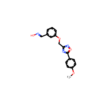 ON=Cc1cccc(OCc2noc(-c3ccc(OC(F)(F)F)cc3)n2)c1